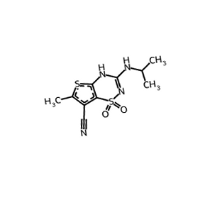 Cc1sc2c(c1C#N)S(=O)(=O)N=C(NC(C)C)N2